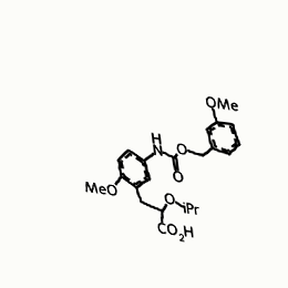 COc1cccc(COC(=O)Nc2ccc(OC)c(CC(OC(C)C)C(=O)O)c2)c1